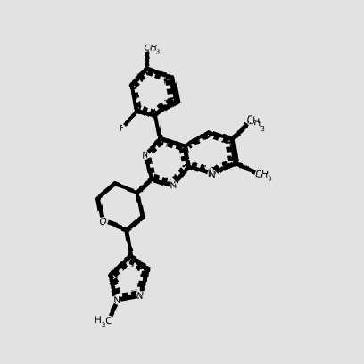 Cc1ccc(-c2nc(C3CCOC(c4cnn(C)c4)C3)nc3nc(C)c(C)cc23)c(F)c1